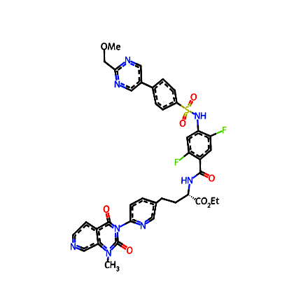 CCOC(=O)[C@H](CCc1ccc(-n2c(=O)c3ccncc3n(C)c2=O)nc1)NC(=O)c1cc(F)c(NS(=O)(=O)c2ccc(-c3cnc(COC)nc3)cc2)cc1F